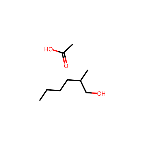 CC(=O)O.CCCCC(C)CO